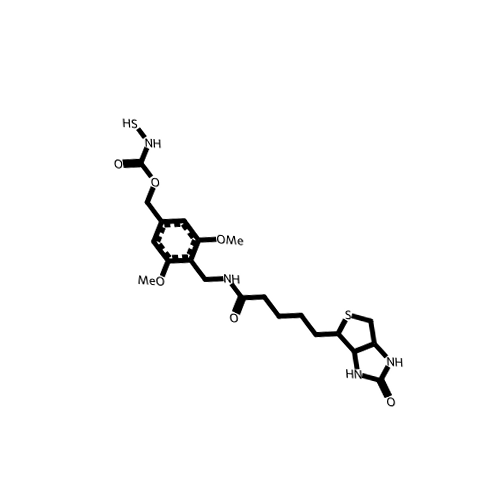 COc1cc(COC(=O)NS)cc(OC)c1CNC(=O)CCCCC1SCC2NC(=O)NC21